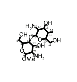 COC1OC(CO)C(OC2OC(CO)C(C)C(O)C2N)C(O)C1N